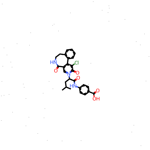 CC(C)CC(C(=O)Nc1ccc(C(=O)O)cc1)n1cc2c(c(Cl)c1=O)-c1ccccc1CCNC2=O